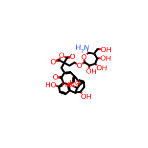 N[C@H]1OC(OCCC2(Cc3cc4cc5c(ccc(O)c5c3=O)C3C(O)C/C(=C/4)C(O)C3O)C(=O)OC2=O)C(O)C(O)C(O)C1CO